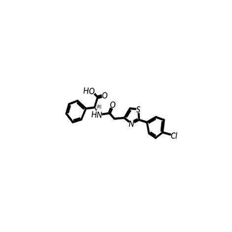 O=C(Cc1csc(-c2ccc(Cl)cc2)n1)N[C@@H](C(=O)O)c1ccccc1